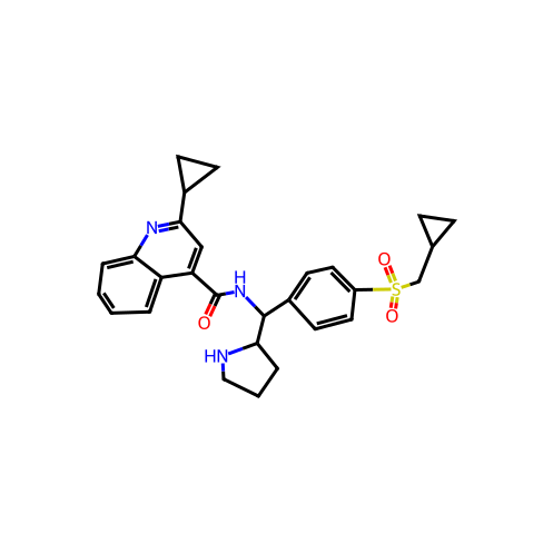 O=C(NC(c1ccc(S(=O)(=O)CC2CC2)cc1)C1CCCN1)c1cc(C2CC2)nc2ccccc12